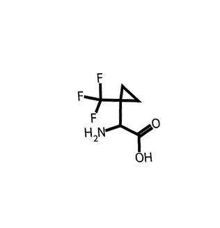 NC(C(=O)O)C1(C(F)(F)F)CC1